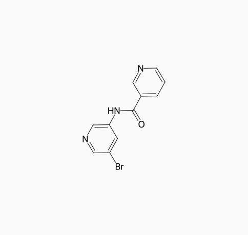 O=C(Nc1cncc(Br)c1)c1cccnc1